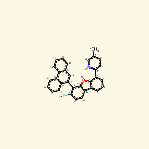 Cc1ccc(-c2cccc3c2oc2c(-c4cc5ccccc5c5ccccc45)c(F)ccc23)nc1